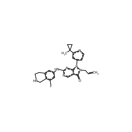 C=CCn1c(=O)c2cnc(Nc3cc(F)c4c(c3)CCNC4)nc2n1-c1ccnc(C2(C)CC2)c1